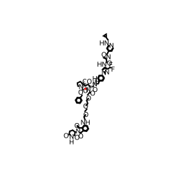 O=C1CCC(N2C(=O)c3cccc(NCCOCCOCCOCC(=O)N4C[C@H]([C@]5(C(=O)O)CCCN5C(=O)OCc5ccccc5)C[C@H]4C(=O)NCc4ccc(-n5cc(NC(=O)c6coc(-c7ccnc(NCC8CC8)c7)n6)c(C(F)F)n5)cc4)c3C2=O)C(=O)N1